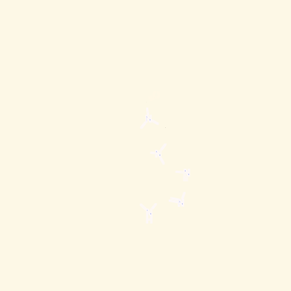 O=C(CC(F)(F)F)N1CCN(c2ncnc3[nH]ccc23)CC12CC2